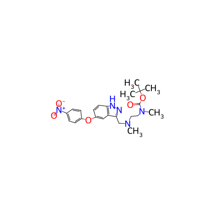 CN(CCN(C)C(=O)OC(C)(C)C)Cc1n[nH]c2ccc(Oc3ccc([N+](=O)[O-])cc3)cc12